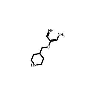 N=C/C(=C\N)OCC1CCNCC1